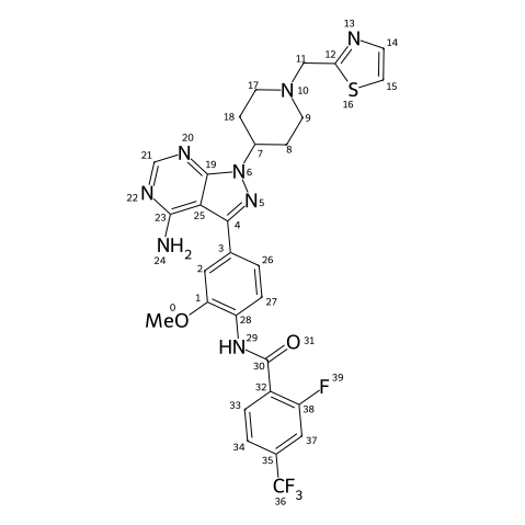 COc1cc(-c2nn(C3CCN(Cc4nccs4)CC3)c3ncnc(N)c23)ccc1NC(=O)c1ccc(C(F)(F)F)cc1F